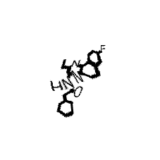 CCc1nc2c(nc1NC(=O)CC1CCCCC1)CCc1cc(F)ccc1-2